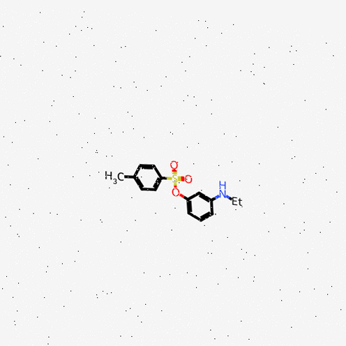 CCNc1[c]ccc(OS(=O)(=O)c2ccc(C)cc2)c1